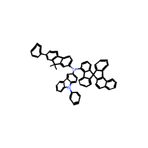 CC1(C)c2cc(-c3ccccc3)ccc2-c2ccc(N(c3ccc4c(c3)c3ccccc3n4-c3ccccc3)c3cccc4c3-c3ccccc3C43c4ccccc4-c4c3ccc3ccccc43)cc21